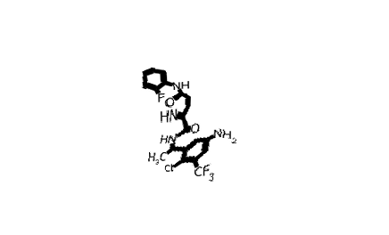 CC(NC(=O)C(=N)/C=C\C(=O)Nc1ccccc1F)c1cc(N)cc(C(F)(F)F)c1Cl